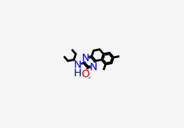 CCC(CC)Nc1nc2c(nc1OC)-c1c(C)cc(C)cc1CC2